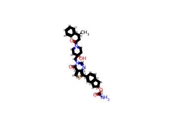 C[C@H](CC(=O)N1CCC(O)(Cn2cnc3c(-c4ccc5c(c4)CC(OC(N)=O)C5)scc3c2=O)CC1)c1ccccc1